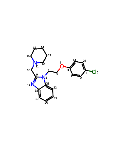 Clc1ccc(OCCn2c(CN3CCCCC3)nc3ccccc32)cc1